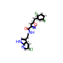 O=C(NCCc1c[nH]c2ncc(Cl)cc12)c1cc(Cc2cc(F)ccc2F)on1